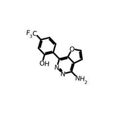 Nc1nnc(-c2ccc(C(F)(F)F)cc2O)c2occc12